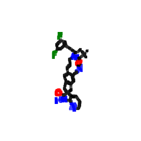 C[C@H](c1cc(F)cc(F)c1)N(C/C=C/c1cc2c(cc1C#N)C[C@]1(C2)C(=O)Nc2ncccc21)C(=O)C(C)(C)C